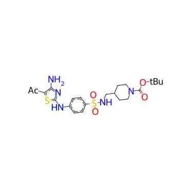 CC(=O)c1sc(Nc2ccc(S(=O)(=O)NCC3CCN(C(=O)OC(C)(C)C)CC3)cc2)nc1N